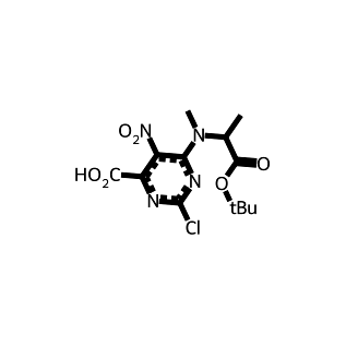 CC(C(=O)OC(C)(C)C)N(C)c1nc(Cl)nc(C(=O)O)c1[N+](=O)[O-]